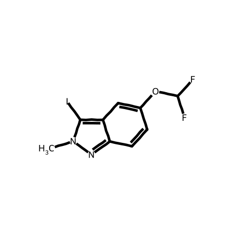 Cn1nc2ccc(OC(F)F)cc2c1I